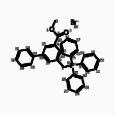 COC(=O)c1cc(C[P+](c2ccccc2)(c2ccccc2)c2ccccc2)cc(-c2ccccc2)c1.[Br-]